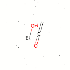 C=C=O.CCO